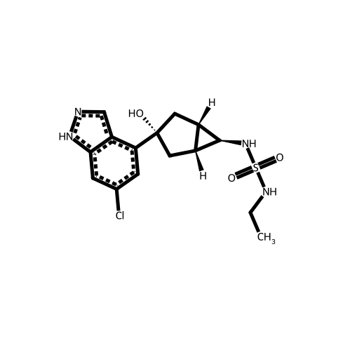 CCNS(=O)(=O)N[C@H]1[C@@H]2C[C@@](O)(c3cc(Cl)cc4[nH]ncc34)C[C@@H]21